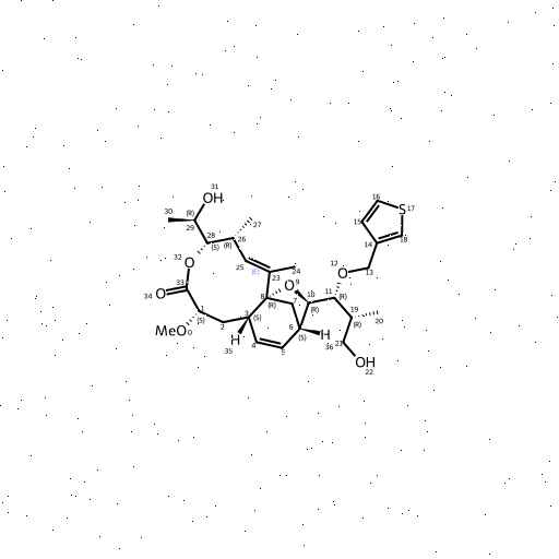 CO[C@H]1C[C@H]2C=C[C@@H]3C[C@]2(O[C@H]3[C@H](OCc2ccsc2)[C@H](C)CO)/C(C)=C/[C@@H](C)[C@@H]([C@@H](C)O)OC1=O